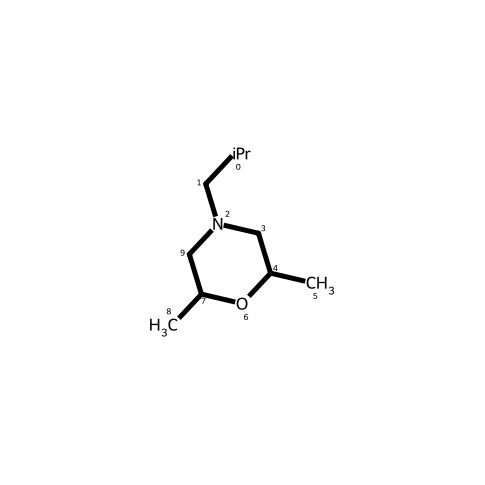 CC(C)CN1CC(C)OC(C)C1